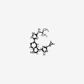 CC(C)Nc1nnc(-c2ccc3[nH]cc(-c4nc(C5CC5)n[nH]4)c3c2)o1